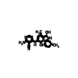 CC1=C2[C@H](O)N[C@@]3(CCCN(C)C3)N2[C@@H](O)C(Nc2ncnc(N)c2C#N)=C1